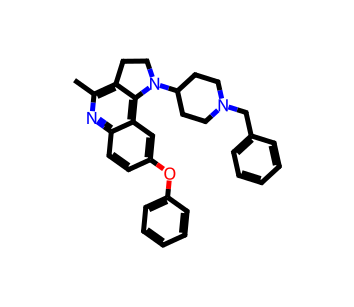 Cc1nc2ccc(Oc3ccccc3)cc2c2c1CCN2C1CCN(Cc2ccccc2)CC1